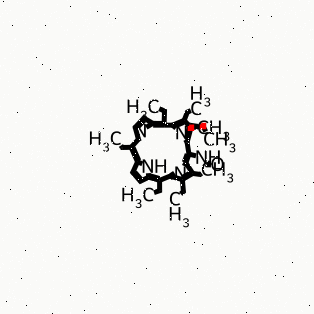 CCC1=C(CC)c2nc1c(CC)c1ccc([nH]1)c(CC)c1nc(c(CC)c3c(CC)c(CC)c(c2NC=O)n3CC)C=C1